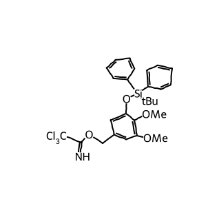 COc1cc(COC(=N)C(Cl)(Cl)Cl)cc(O[Si](c2ccccc2)(c2ccccc2)C(C)(C)C)c1OC